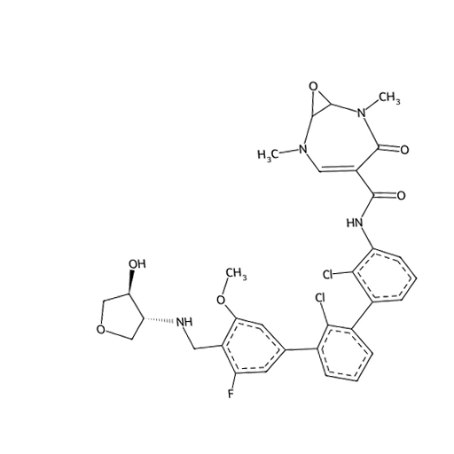 COc1cc(-c2cccc(-c3cccc(NC(=O)C4=CN(C)C5OC5N(C)C4=O)c3Cl)c2Cl)cc(F)c1CN[C@@H]1COC[C@H]1O